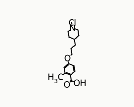 Cc1cc(OCCCC2CCN(Cl)CC2)ccc1C(=O)O